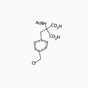 CC(=O)NC(Cc1ccc(CCl)cc1)(C(=O)O)C(=O)O